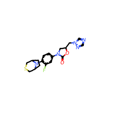 O=C1OC(Cn2cncn2)CN1c1ccc(N2C3CCC2CSC3)c(F)c1